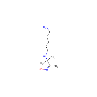 CC(=NO)C(C)(C)NCCCCCN